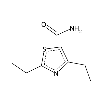 CCc1csc(CC)n1.NC=O